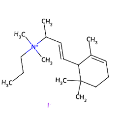 CCC[N+](C)(C)C(C)/C=C/C1C(C)=CCCC1(C)C.[I-]